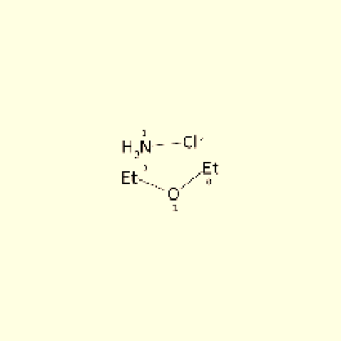 CCOCC.NCl